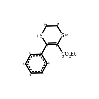 CCOC(=O)C1=C(c2ccccc2)SCCS1